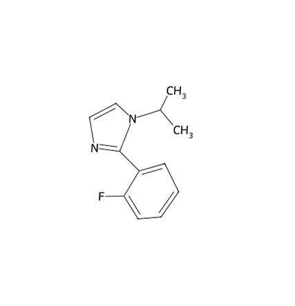 CC(C)n1ccnc1-c1ccccc1F